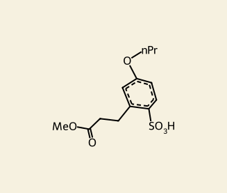 CCCOc1ccc(S(=O)(=O)O)c(CCC(=O)OC)c1